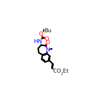 CCOC(=O)/C=C/c1ccc2c(c1)N(C)C(=O)[C@@H](NC(=O)OC(C)(C)C)CC2